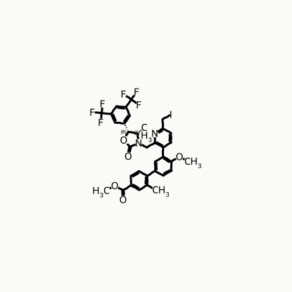 COC(=O)c1ccc(-c2ccc(OC)c(-c3ccc(CI)nc3CN3C(=O)O[C@H](c4cc(C(F)(F)F)cc(C(F)(F)F)c4)[C@@H]3C)c2)c(C)c1